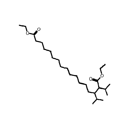 CCOC(=O)CCCCCCCCCCCCCC(C(C)C)C(C(=O)OCC)C(C)C